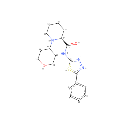 O=C(Nc1nnc(-c2ccccc2)s1)[C@@H]1CCCCN1C1CCOCC1